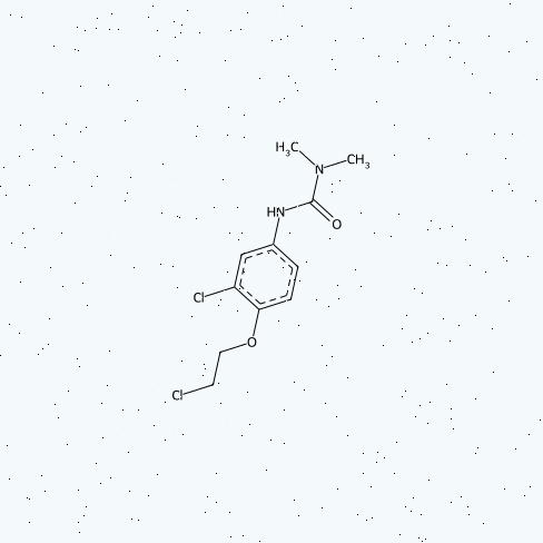 CN(C)C(=O)Nc1ccc(OCCCl)c(Cl)c1